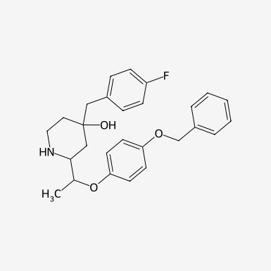 CC(Oc1ccc(OCc2ccccc2)cc1)C1CC(O)(Cc2ccc(F)cc2)CCN1